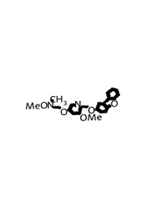 COc1cc(OCCN(C)OC)cnc1COc1ccc2oc3ccccc3c2c1